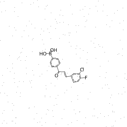 O=C(/C=C/c1ccc(F)c(Cl)c1)c1ccc(B(O)O)cc1